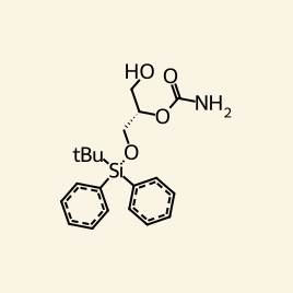 CC(C)(C)[Si](OC[C@H](CO)OC(N)=O)(c1ccccc1)c1ccccc1